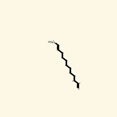 [CH2]CCCCCC=CCCCCCCCCC=C